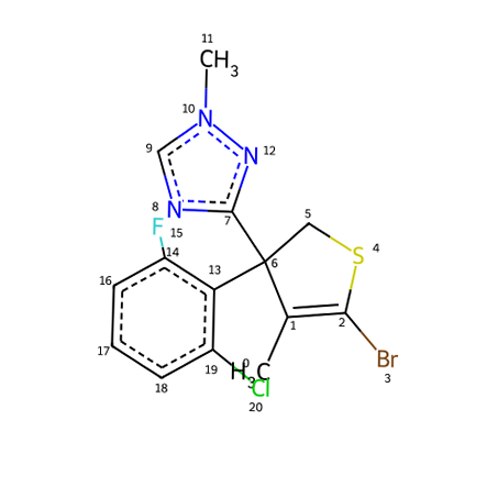 CC1=C(Br)SCC1(c1ncn(C)n1)c1c(F)cccc1Cl